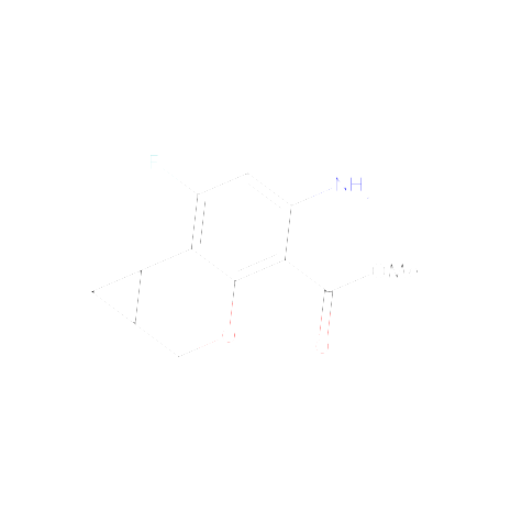 COC(=O)c1c(N)cc(F)c2c1OCC1CC21